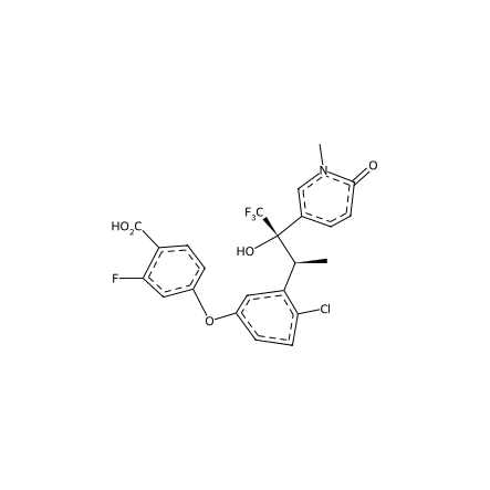 C[C@@H](c1cc(Oc2ccc(C(=O)O)c(F)c2)ccc1Cl)[C@](O)(c1ccc(=O)n(C)c1)C(F)(F)F